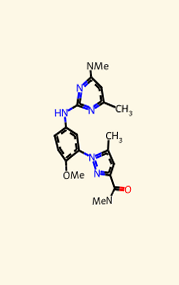 CNC(=O)c1cc(C)n(-c2cc(Nc3nc(C)cc(NC)n3)ccc2OC)n1